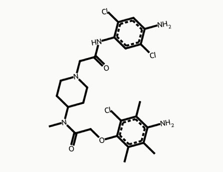 Cc1c(C)c(OCC(=O)N(C)C2CCN(CC(=O)Nc3cc(Cl)c(N)cc3Cl)CC2)c(Cl)c(C)c1N